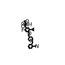 CS(=O)(=O)NC(=O)c1cc(C2CC2)c(OCC2CCN(Cc3ccccc3C#N)CC2)cc1F